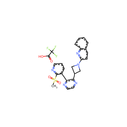 CS(=O)(=O)c1ncccc1-c1nccnc1C1CN(c2ccc3ccccc3n2)C1.O=C(O)C(F)(F)F